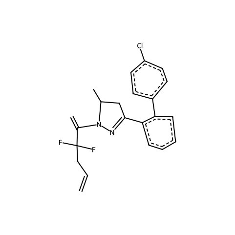 C=CCC(F)(F)C(=C)N1N=C(c2ccccc2-c2ccc(Cl)cc2)CC1C